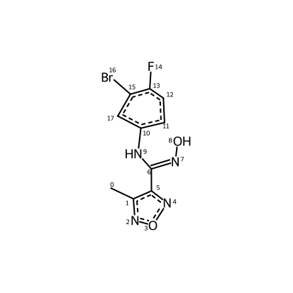 Cc1nonc1/C(=N/O)Nc1ccc(F)c(Br)c1